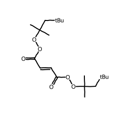 CC(C)(C)CC(C)(C)OOC(=O)C=CC(=O)OOC(C)(C)CC(C)(C)C